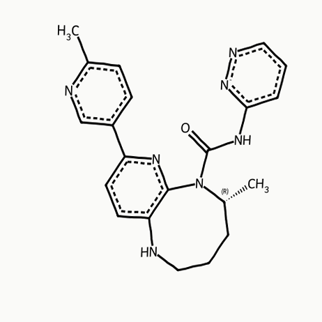 Cc1ccc(-c2ccc3c(n2)N(C(=O)Nc2cccnn2)[C@H](C)CCCN3)cn1